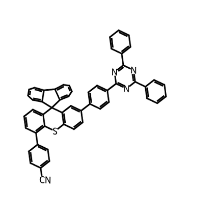 N#Cc1ccc(-c2cccc3c2Sc2ccc(-c4ccc(-c5nc(-c6ccccc6)nc(-c6ccccc6)n5)cc4)cc2C32c3ccccc3-c3ccccc32)cc1